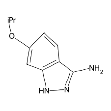 CC(C)Oc1ccc2c(N)n[nH]c2c1